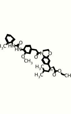 CCOC(=O)C[C@@H](CC(C)C)c1ccc2c(c1)OCCN2C(=O)Cc1ccc(NC(=O)Nc2ccccc2C)c(OC)c1